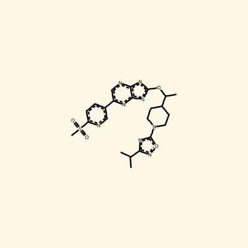 CC(C)c1noc(N2CCC(C(C)Oc3nc4ncc(-c5ccc(S(C)(=O)=O)nc5)nc4s3)CC2)n1